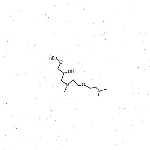 CCCCOCC(O)CN(C)CCOCCN(C)C